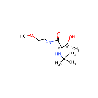 COCCNC(=O)[C@@H](NC(C)(C)C)[C@@H](C)O